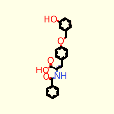 O=C(O)/C(=C\c1ccc(OCc2cccc(O)c2)cc1)NC(=O)c1ccccc1